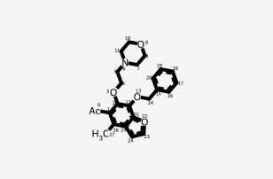 CC(=O)c1c(OCCN2CCOCC2)c(OCc2ccccc2)c2occc2c1C